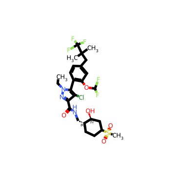 CCn1nc(C(=O)NC[C@H]2CCC(S(C)(=O)=O)C[C@@H]2O)c(Cl)c1-c1ccc(CC(C)(C)C(F)(F)F)cc1OC(F)F